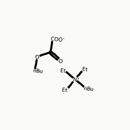 CCCCOC(=O)C(=O)[O-].CCCC[N+](CC)(CC)CC